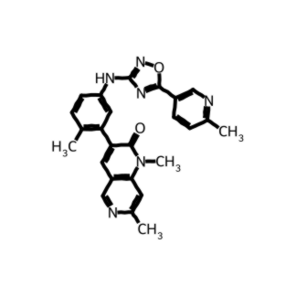 Cc1ccc(-c2nc(Nc3ccc(C)c(-c4cc5cnc(C)cc5n(C)c4=O)c3)no2)cn1